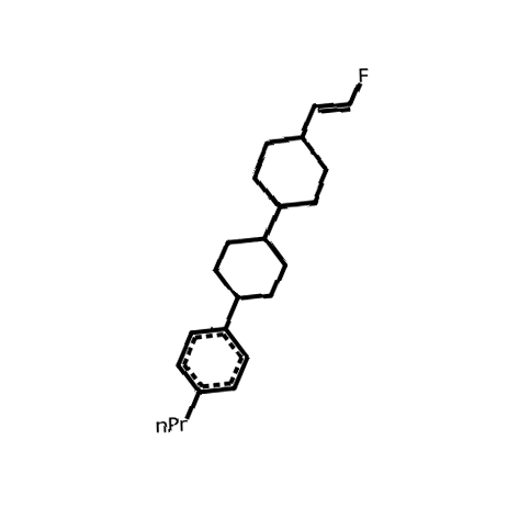 CCCc1ccc(C2CCC(C3CCC(C=CF)CC3)CC2)cc1